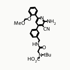 COCOc1ccccc1-c1cc(-c2cccc(CNC(=O)CN(C(=O)O)C(C)(C)C)c2)c(C#N)c(N)n1